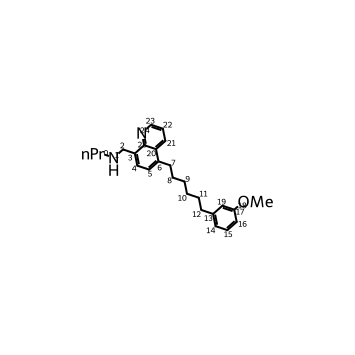 [CH2]CCNCc1ccc(CCCCCCc2cccc(OC)c2)c2cccnc12